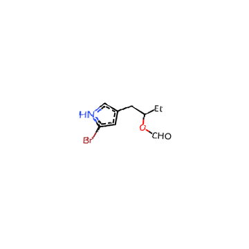 CCC(Cc1c[nH]c(Br)c1)OC=O